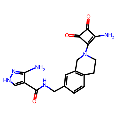 Nc1n[nH]cc1C(=O)NCc1ccc2c(c1)CN(c1c(N)c(=O)c1=O)CC2